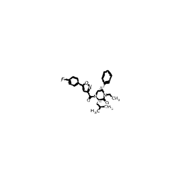 CCN1C(=O)[C@H](CC(C)C)N(C(=O)c2cc(-c3ccc(F)cc3)on2)C[C@@H]1c1ccccc1